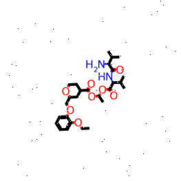 CCOc1ccccc1OCC1CC(C(=O)OC(C)OC(=O)[C@@H](NC(=O)[C@@H](N)C(C)C)C(C)C)CCO1